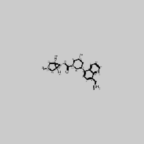 C[C@@H]1C[C@@H](c2ccc(CN)c3ncccc23)CN(C(=O)C[C@@H]2[C@H]3CN(C)C[C@@H]23)C1